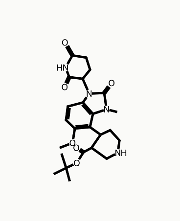 COc1ccc2c(c1C1CCNCC1C(=O)OC(C)(C)C)n(C)c(=O)n2C1CCC(=O)NC1=O